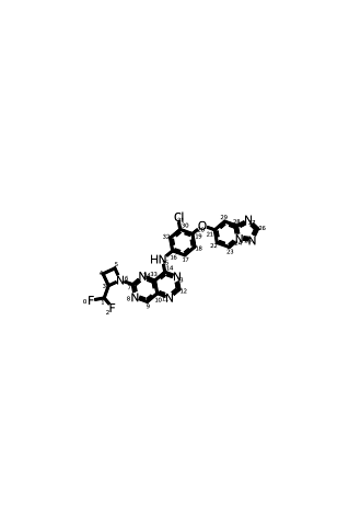 FC(F)C1CCN1c1ncc2ncnc(Nc3ccc(Oc4ccn5ncnc5c4)c(Cl)c3)c2n1